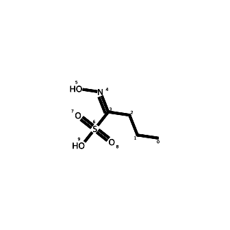 CCCC(=NO)S(=O)(=O)O